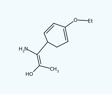 CCOC1=CCC(/C(N)=C(\C)O)C=C1